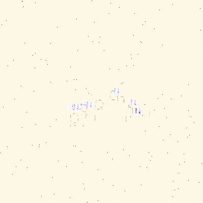 C=C(/N=C\N(C)CC)c1cc2nccc(Oc3ccc(NC(=O)C4(C(=O)Nc5ccccc5OC)CC4)cc3F)c2s1